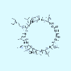 C/C=C/C[C@@H](C)[C@@H](O)[C@H]1C(=O)N[C@@H](CCC)C(=O)N(C)[C@H](CSCCN(CC)CC)C(=O)N(C)C(C=O)(CC(C)C)N[C@H](C(C)C)C(=O)N(C)[C@H](CC(C)C)C(=O)N[C@H](C)C(=O)N[C@@H](C)C(=O)N(C)[C@H](CC(C)C)C(=O)N(C)[C@H](CC(C)C)C(=O)N(C)[C@H](C(C)C)C(=O)N1C